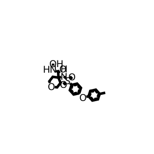 Cc1ccc(Oc2ccc(S(=O)(=O)NC3(C(=O)NO)CCOCC3)cc2)cc1